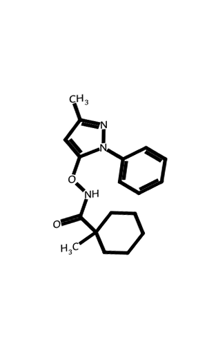 Cc1cc(ONC(=O)C2(C)CCCCC2)n(-c2ccccc2)n1